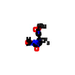 CC(C)(C)OC(=O)N1CCC(CCN2c3nc(N4C[C@@H]5CC4CO5)cc(=O)n3CC[C@H]2C(F)(F)F)CC1